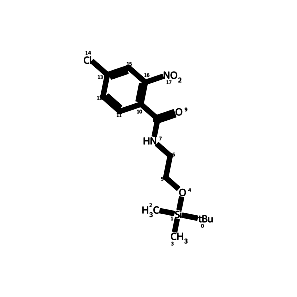 CC(C)(C)[Si](C)(C)OCCNC(=O)c1ccc(Cl)cc1[N+](=O)[O-]